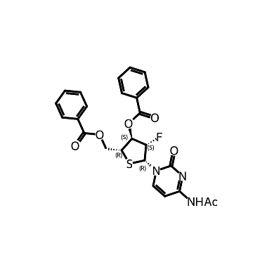 CC(=O)Nc1ccn([C@@H]2S[C@H](COC(=O)c3ccccc3)[C@@H](OC(=O)c3ccccc3)[C@@H]2F)c(=O)n1